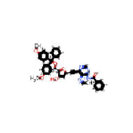 C/C=N\c1c(C#C[C@H]2C[C@H](O)[C@@H](COC(c3ccccc3)(c3ccc(OC)cc3)c3ccc(OC)cc3)O2)ncnc1NC(=O)c1ccccc1